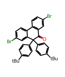 CC(C)(C)c1ccc(C2(c3ccc(C(C)(C)C)cc3)C(=O)c3cc(Br)ccc3-c3ccc(Br)cc32)cc1